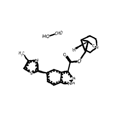 Cc1csc(-c2ccc3[nH]nc(C(=O)O[C@H]4CN5CCC4CC5)c3c2)n1.O=CO